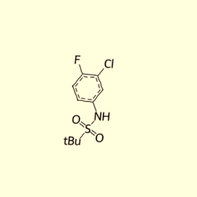 CC(C)(C)S(=O)(=O)Nc1ccc(F)c(Cl)c1